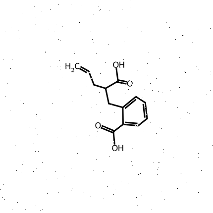 C=CCC(Cc1ccccc1C(=O)O)C(=O)O